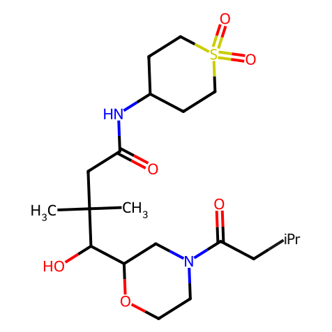 CC(C)CC(=O)N1CCOC(C(O)C(C)(C)CC(=O)NC2CCS(=O)(=O)CC2)C1